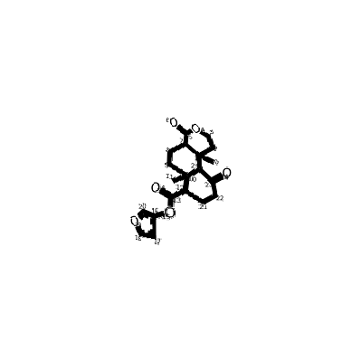 CC12CCOC(=O)C1CCC1(C)C(C(=O)Oc3ccoc3)CCC(=O)C21